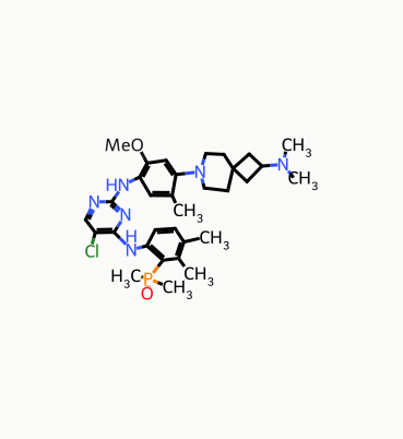 COc1cc(N2CCC3(CC2)CC(N(C)C)C3)c(C)cc1Nc1ncc(Cl)c(Nc2ccc(C)c(C)c2P(C)(C)=O)n1